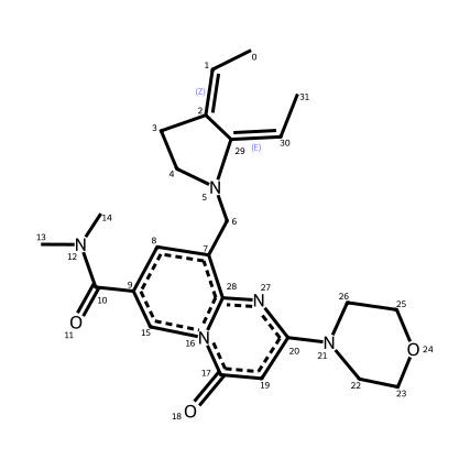 C/C=C1/CCN(Cc2cc(C(=O)N(C)C)cn3c(=O)cc(N4CCOCC4)nc23)/C1=C/C